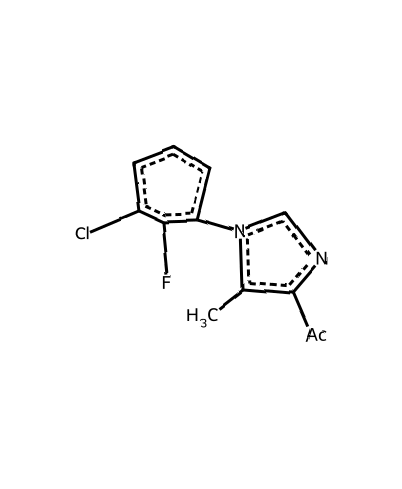 CC(=O)c1ncn(-c2cccc(Cl)c2F)c1C